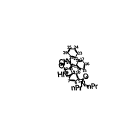 CCCN(CCC)C(=O)c1ccc2c(c1)/C(=C(\c1ccccc1)N(Cl)c1ccccc1)C(=O)N2